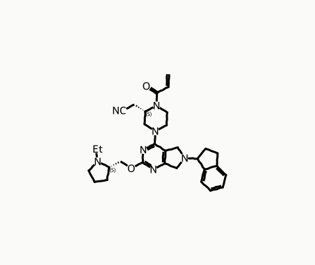 C=CC(=O)N1CCN(c2nc(OC[C@@H]3CCCN3CC)nc3c2CN(C2CCc4ccccc42)C3)C[C@@H]1CC#N